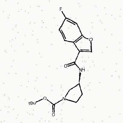 CC(C)(C)OC(=O)N1CC[C@H](NC(=O)c2coc3cc(F)ccc23)C1